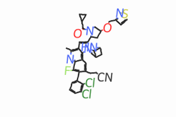 Cc1nc2c(F)c(-c3cccc(Cl)c3Cl)c(CCC#N)cc2c2c1cc(C1CC(OCc3ccsn3)CN1C(=O)C1CC1)n2C1C2CNC1C2